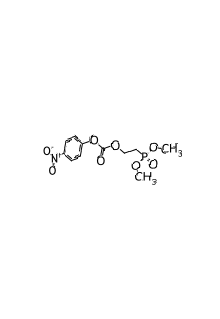 COP(=O)(CCOC(=O)Oc1ccc([N+](=O)[O-])cc1)OC